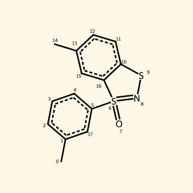 Cc1cccc(S2(=O)=NSc3ccc(C)cc32)c1